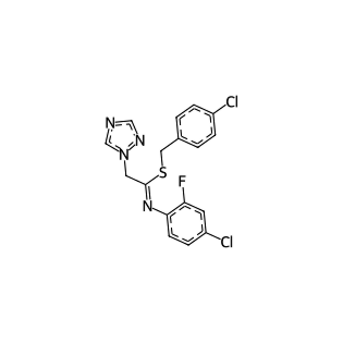 Fc1cc(Cl)ccc1N=C(Cn1cncn1)SCc1ccc(Cl)cc1